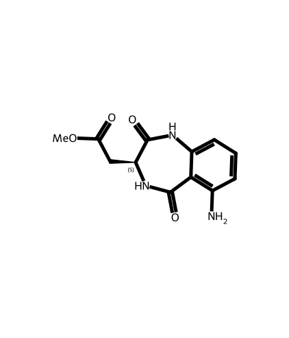 COC(=O)C[C@@H]1NC(=O)c2c(N)cccc2NC1=O